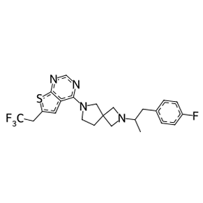 CC(Cc1ccc(F)cc1)N1CC2(CCN(c3ncnc4sc(CC(F)(F)F)cc34)C2)C1